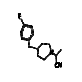 CC(C#N)N1CCC(Cc2ccc(F)cc2)CC1